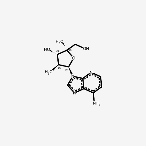 C[C@@H]1[C@H](n2cnc3c(N)ccnc32)O[C@](C)(CO)[C@H]1O